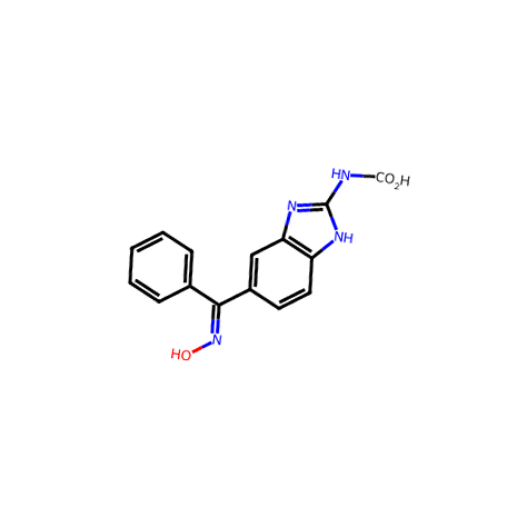 O=C(O)Nc1nc2cc(C(=NO)c3ccccc3)ccc2[nH]1